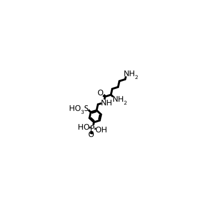 NCCCCC(N)C(=O)NCc1ccc(P(=O)(O)O)cc1S(=O)(=O)O